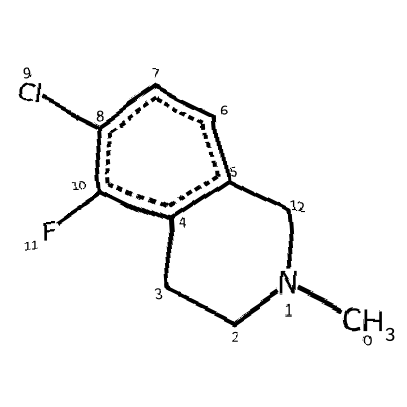 CN1CCc2c(ccc(Cl)c2F)C1